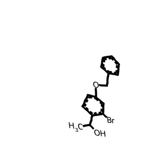 CC(O)c1ccc(OCc2ccccc2)cc1Br